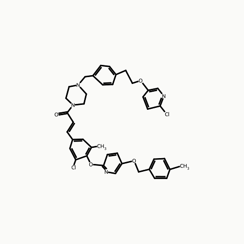 Cc1ccc(COc2ccc(Oc3c(C)cc(C=CC(=O)N4CCN(Cc5ccc(CCOc6ccc(Cl)nc6)cc5)CC4)cc3Cl)nc2)cc1